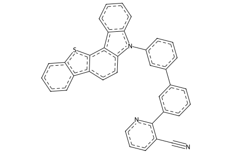 N#Cc1cccnc1-c1cccc(-c2cccc(-n3c4ccccc4c4c5sc6ccccc6c5ccc43)c2)c1